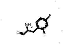 NC(C=O)Cc1ccc(F)cc1F